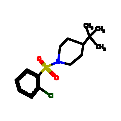 CC(C)(C)C1CCN(S(=O)(=O)c2ccccc2Cl)CC1